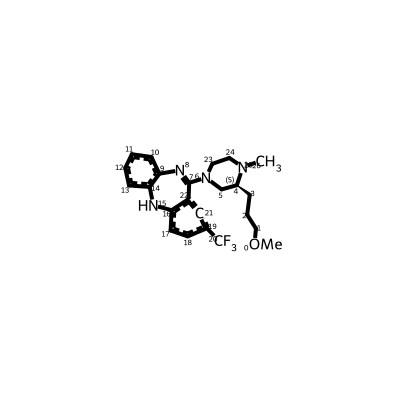 COCCC[C@H]1CN(C2=Nc3ccccc3Nc3ccc(C(F)(F)F)cc32)CCN1C